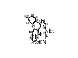 CC[C@H](CF)n1cnc(-c2ccc(F)cc2)c1-c1ccc2ncc(C#N)n2n1